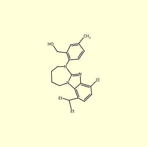 CCC(CC)c1ccc(Cl)c2nc3n(c12)CCCCN3c1ccc(C)cc1CO